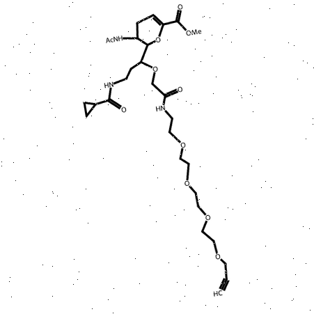 C#CCOCCOCCOCCOCCNC(=O)COC(CCNC(=O)C1CC1)C1OC(C(=O)OC)=CCC1NC(C)=O